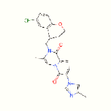 Cc1cn(-c2ccc3c(=O)n(CC4CCOc5ccc(Cl)cc54)c(C)cn3c2=O)cn1